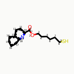 O=C(OCCCCCCS)c1ccc2ccccc2n1